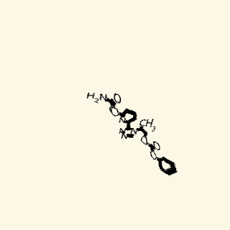 CC(COC(=O)Oc1ccccc1)n1cnnc1-c1cccc(OC(N)=O)n1